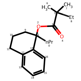 CCCC1(OC(=O)C(C)(C)CC)CCCc2ccccc21